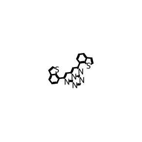 C1=NC2=NC(c3cccc4ccsc34)=CC3=CC(c4cccc5ccsc45)=NC(=N1)N32